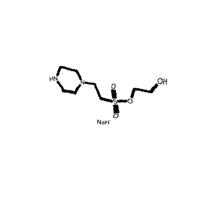 O=S(=O)(CCN1CCNCC1)OCCO.[NaH]